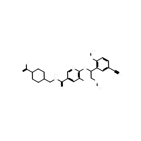 COCC(Nc1ncc(C(=O)NCC2CCC(C(=O)O)CC2)cc1Cl)c1cc(C#N)ccc1OC